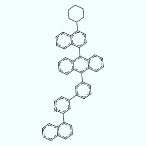 c1cc(-c2ccnc(-c3cccc4ccccc34)c2)cc(-c2c3ccccc3c(-c3ccc(C4CCCCC4)c4ccccc34)c3ccccc23)c1